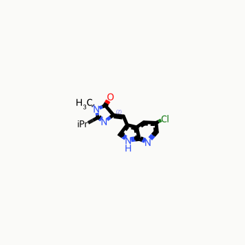 CC(C)C1=N/C(=C\c2c[nH]c3ncc(Cl)cc23)C(=O)N1C